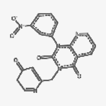 O=C1C=C(Cn2c(=O)c3cccnc3n(-c3cccc([N+](=O)[O-])c3)c2=O)N=CC1